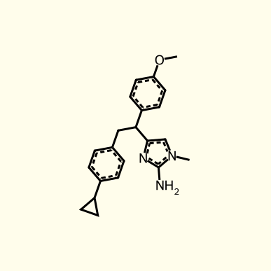 COc1ccc(C(Cc2ccc(C3CC3)cc2)c2cn(C)c(N)n2)cc1